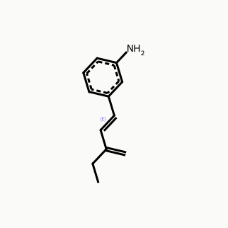 C=C(/C=C/c1cccc(N)c1)CC